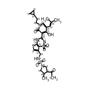 CC(=O)C1CN(S(=O)(=O)NCc2csc3c2S(=O)(=O)N=C(c2c(O)c(C=C(C)C)cn(CCC4CC4)c2=O)N3)CC1C